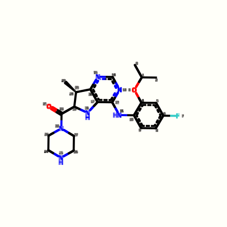 CC(C)Oc1cc(F)ccc1Nc1ncnc2c1NC(C(=O)N1CCNCC1)[C@H]2C